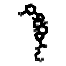 C[C@]12CC[C@@H]3c4ccc(C(=O)NCCC(=O)O)cc4CC[C@H]3[C@@H]1CC=C2c1cncc(C(F)(F)F)c1